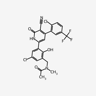 CC(=O)N(C)Cc1cc(Cl)cc(-c2cc(-c3cc(C(F)(F)F)ccc3Cl)c(C#N)c(=O)[nH]2)c1O